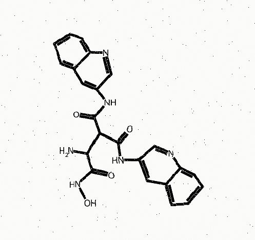 NC(C(=O)NO)C(C(=O)Nc1cnc2ccccc2c1)C(=O)Nc1cnc2ccccc2c1